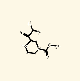 CCC(C(C)=O)C(=O)C1CN(C(=O)OC(C)(C)C)CCO1